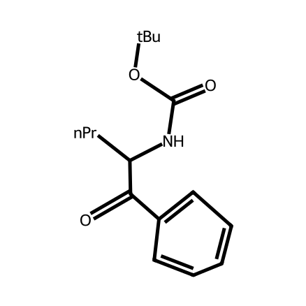 CCCC(NC(=O)OC(C)(C)C)C(=O)c1ccccc1